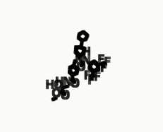 CCOC(=O)[C@H](O)CNC(=O)c1ccc(CN(C(=O)Nc2cc(C(F)(F)F)cc(C(F)(F)F)c2)c2ccc(C3CCCCC3)cc2)cc1